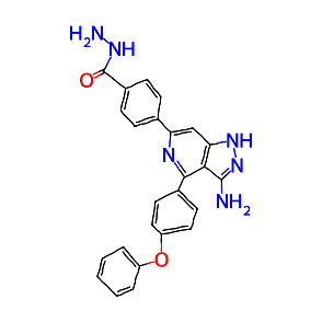 NNC(=O)c1ccc(-c2cc3[nH]nc(N)c3c(-c3ccc(Oc4ccccc4)cc3)n2)cc1